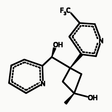 C[C@]1(O)C[C@@](c2cncc(C(F)(F)F)c2)([C@H](O)c2ccccn2)C1